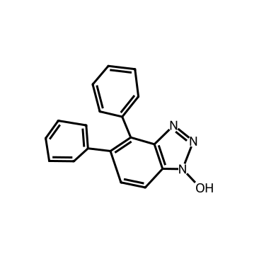 On1nnc2c(-c3ccccc3)c(-c3ccccc3)ccc21